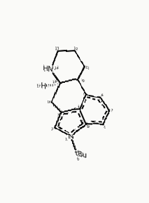 CC(C)(C)n1cc2c3c(cccc31)C1CCCN[C@@H]1C2